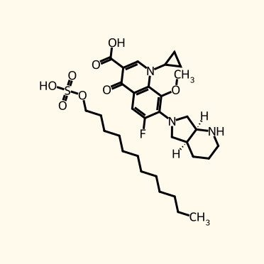 CCCCCCCCCCCCOS(=O)(=O)O.COc1c(N2C[C@@H]3CCCN[C@@H]3C2)c(F)cc2c(=O)c(C(=O)O)cn(C3CC3)c12